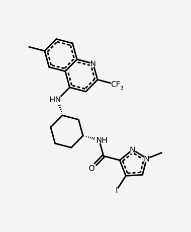 Cc1ccc2nc(C(F)(F)F)cc(N[C@H]3CCC[C@@H](NC(=O)c4nn(C)cc4I)C3)c2c1